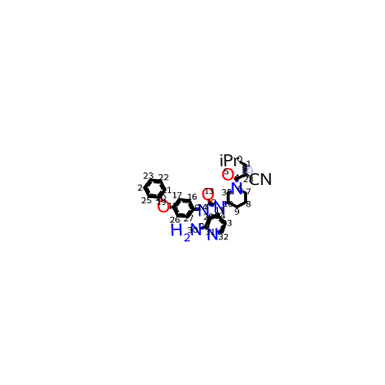 CC(C)/C=C(/C#N)C(=O)N1CCCC(n2c(=O)n(-c3ccc(Oc4ccccc4)cc3)c3c(N)nccc32)C1